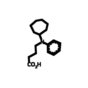 O=C(O)CCCN(c1ccccc1)C1CCCCCC1